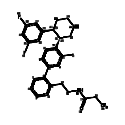 Cc1cc(-c2ccccc2CCNC(=O)CC(F)(F)F)ccc1[C@H]1CNCC[C@@H]1c1cc(F)cc(F)c1